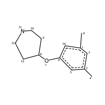 Cc1cc(C)cc(OC2CC[N]CC2)c1